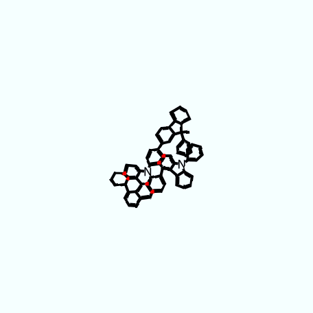 CC1(c2ccccc2)c2ccccc2-c2ccc(-c3ccc(N(c4ccccc4-c4cccc5cccc(C6CCCCC6)c45)c4ccccc4-c4cccc5c4c4ccccc4n5-c4ccccc4)cc3)cc21